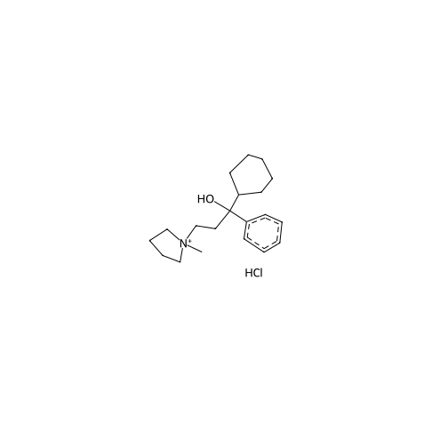 C[N+]1(CCC(O)(c2ccccc2)C2CCCCC2)CCCC1.Cl